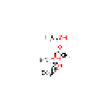 CC(O)COC(C)CO.CCCOCCC.O=C(O)CCC(=O)O